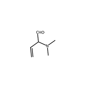 C=CC([C]=O)N(C)C